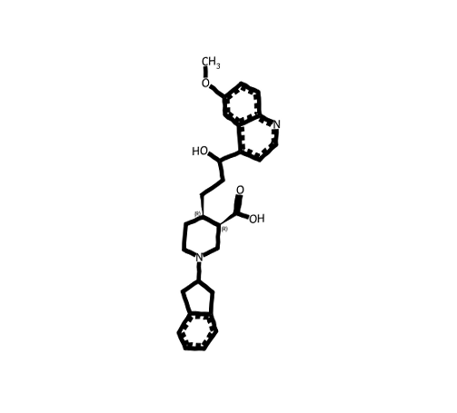 COc1ccc2nccc(C(O)CC[C@@H]3CCN(C4Cc5ccccc5C4)C[C@@H]3C(=O)O)c2c1